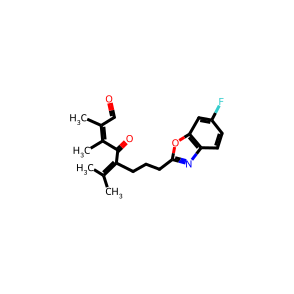 CC(C)=C(CCCc1nc2ccc(F)cc2o1)C(=O)/C(C)=C(/C)C=O